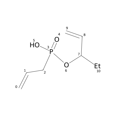 C=CCP(=O)(O)OC(C=C)CC